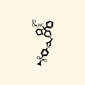 CCOC[C@H]1CCC[C@@H]1C(C#N)(c1ccccc1)C1CCN(CC2CN(c3ccc(S(=O)(=O)C4CC4)cc3)C2)CC1